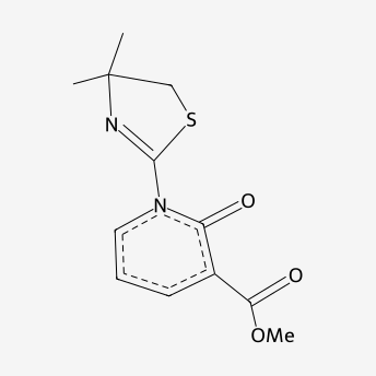 COC(=O)c1cccn(C2=NC(C)(C)CS2)c1=O